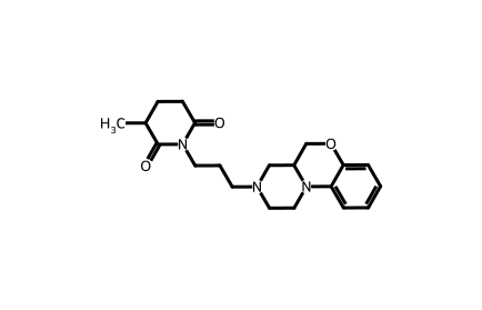 CC1CCC(=O)N(CCCN2CCN3c4ccccc4OCC3C2)C1=O